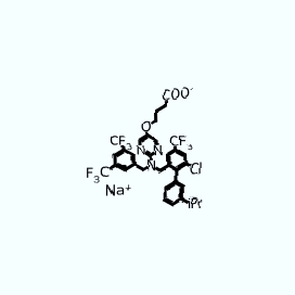 CC(C)c1cccc(-c2c(Cl)cc(C(F)(F)F)cc2CN(Cc2cc(C(F)(F)F)cc(C(F)(F)F)c2)c2ncc(OCCCC(=O)[O-])cn2)c1.[Na+]